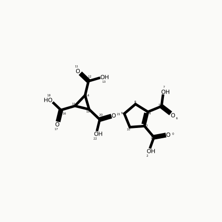 O=C(O)C1=C(C(=O)O)CCC1.O=C(O)C1C(C(=O)O)C1C(=O)O